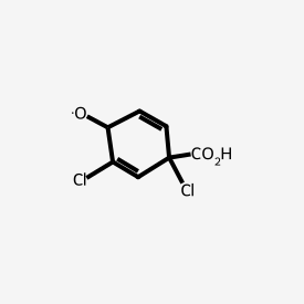 [O]C1C=CC(Cl)(C(=O)O)C=C1Cl